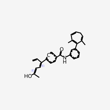 C=C/C(=C\C=C(/C)O)c1ccc(C(=O)Nc2cccc(C3=C(C)C=CCC=C3C)c2)cc1